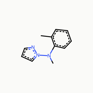 Cc1ccccc1N(C)n1cccn1